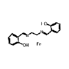 Oc1ccccc1C=NCCN=Cc1ccccc1O.[Fe]